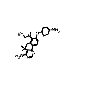 CC(C)CN(C)c1c(O[C@H]2CC[C@H](N)CC2)ccc2c1CC(C)(C)c1c(N)ncnc1-2